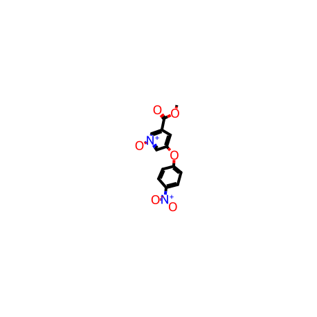 COC(=O)c1cc(Oc2ccc([N+](=O)[O-])cc2)c[n+]([O-])c1